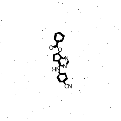 N#Cc1ccc(Nc2ncnc3c2CCC3OC(=O)c2ccccc2)cc1